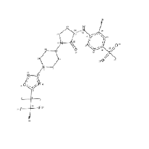 CC(C)(c1nc(N2CCC(N3CC[C@H](Nc4ccc(S(C)(=O)=O)cc4F)C3=O)CC2)no1)C(F)(F)F